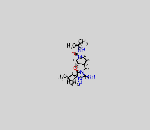 CC(C)CC1(C)NC(=N)N(CC2CCN(C(=O)NC(C)C)CC2)C1=O